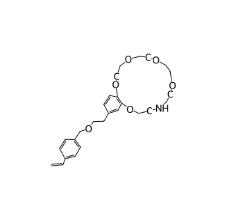 C=Cc1ccc(COCCc2ccc3c(c2)OCCNCCOCCOCCOCCO3)cc1